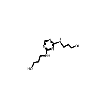 OCCCNc1n[c]nc(NCCCO)n1